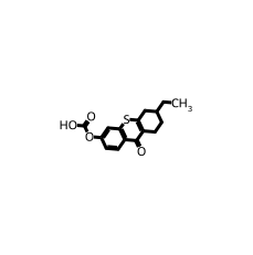 CCC1CCc2c(sc3cc(OC(=O)O)ccc3c2=O)C1